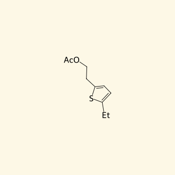 CCc1ccc(CCOC(C)=O)s1